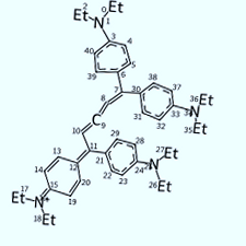 CCN(CC)c1ccc(C(=C=C=CC(=C2C=CC(=[N+](CC)CC)C=C2)c2ccc(N(CC)CC)cc2)c2ccc(N(CC)CC)cc2)cc1